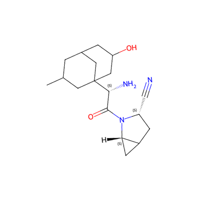 CC1CC2CC(O)CC([C@H](N)C(=O)N3[C@H](C#N)CC4C[C@@H]43)(C1)C2